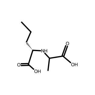 CCC[C@H](NC(C)C(=O)O)C(=O)O